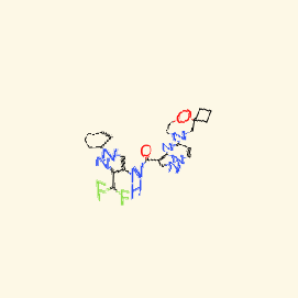 O=C(Nc1cn(C2CCCCC2)nc1C(F)F)c1cnn2ccc(N3CCOC4(CCC4)C3)nc12